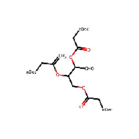 C=C(CCCCCCCCCCC)OC(COC(=O)CCCCCCCCCCC)C(C=O)OC(=O)CCCCCCCCCCC